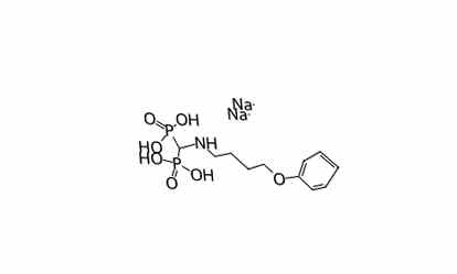 O=P(O)(O)C(NCCCCOc1ccccc1)P(=O)(O)O.[Na].[Na]